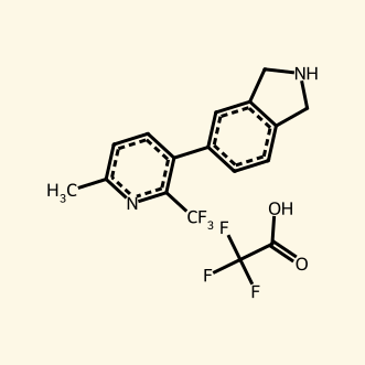 Cc1ccc(-c2ccc3c(c2)CNC3)c(C(F)(F)F)n1.O=C(O)C(F)(F)F